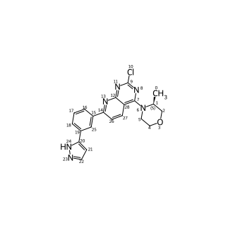 C[C@H]1COCCN1c1nc(Cl)nc2nc(-c3cccc(-c4ccn[nH]4)c3)ccc12